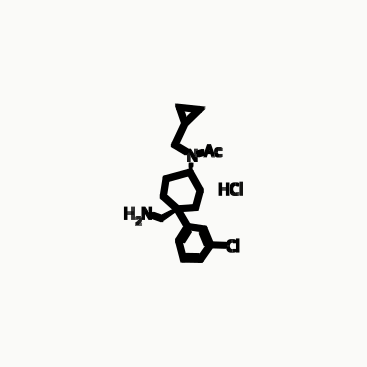 CC(=O)N(CC1CC1)[C@H]1CC[C@@](CN)(c2cccc(Cl)c2)CC1.Cl